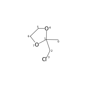 CC1(CCl)OCCO1